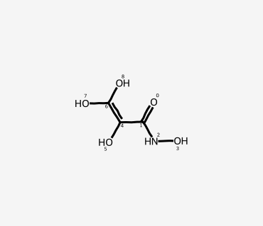 O=C(NO)C(O)=C(O)O